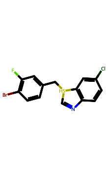 Fc1cc(C[SH]2C=Nc3ccc(Cl)cc32)ccc1Br